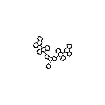 c1ccc(-n2c3ccc(-c4c5ccccc5c(-c5cc6ccccc6c6ccccc56)c5ccccc45)cc3c3cc(-c4c5ccccc5c(-c5cc6ccccc6c6ccccc56)c5ccccc45)ccc32)cc1